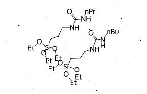 CCCCNC(=O)NCCC[Si](OCC)(OCC)OCC.CCCNC(=O)NCCC[Si](OCC)(OCC)OCC